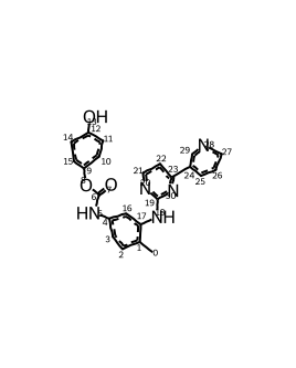 Cc1ccc(NC(=O)Oc2ccc(O)cc2)cc1Nc1nccc(-c2cccnc2)n1